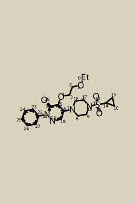 CCOCCOc1c(N2CCN(S(=O)(=O)C3CC3)CC2)cnn(-c2ccccc2)c1=O